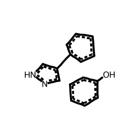 Oc1ccccc1.c1ccc(-c2cn[nH]c2)cc1